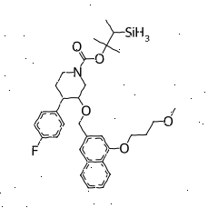 COCCCOc1cc(COC2CN(C(=O)OC(C)(C)C(C)[SiH3])CCC2c2ccc(F)cc2)cc2ccccc12